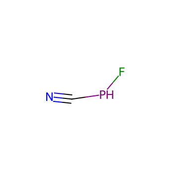 N#CPF